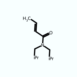 C/C=C/C(=O)N(CC(C)C)CC(C)C